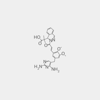 COc1cc(Cc2cnc(N)nc2N)cc(/C=C/C(=O)N2N=Cc3ccccc3C2C(C)(C)C(=O)O)c1OC